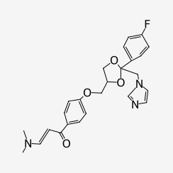 CN(C)/C=C/C(=O)c1ccc(OCC2COC(Cn3ccnc3)(c3ccc(F)cc3)O2)cc1